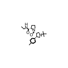 CCNC(=O)[C@@H]1CCCN1C(=O)[C@@H]1CN(C(C)(C)C)C[C@H]1c1ccc(C)cc1